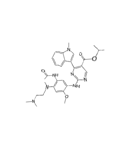 COc1cc(N(C)CCN(C)C)c(NC(C)=O)cc1Nc1ncc(C(=O)OC(C)C)c(-c2cn(C)c3ccccc23)n1